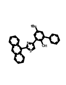 CC(C)(C)c1cc(-c2ccccc2)c(O)c(-c2csc(-c3c4ccccc4cc4ccccc34)n2)c1